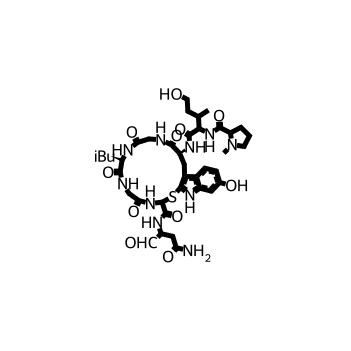 CC[C@H](C)C1NC(=O)CNC(=O)[C@@H](NC(=O)C(NC(=O)C2CCCN2C)C(C)CCO)Cc2c([nH]c3cc(O)ccc23)SC(C(=O)NC(C=O)CC(N)=O)NC(=O)CNC1=O